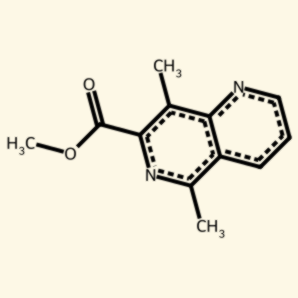 COC(=O)c1nc(C)c2cccnc2c1C